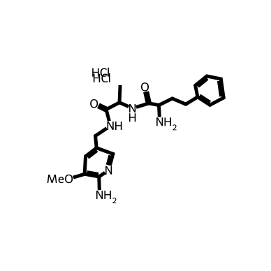 COc1cc(CNC(=O)C(C)NC(=O)C(N)CCc2ccccc2)cnc1N.Cl.Cl